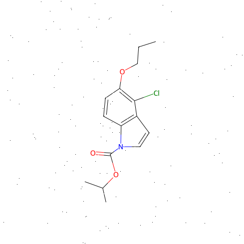 CCCOc1ccc2c(ccn2C(=O)OC(C)C)c1Cl